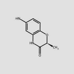 C[C@@H]1Oc2ccc([NH])cc2NC1=O